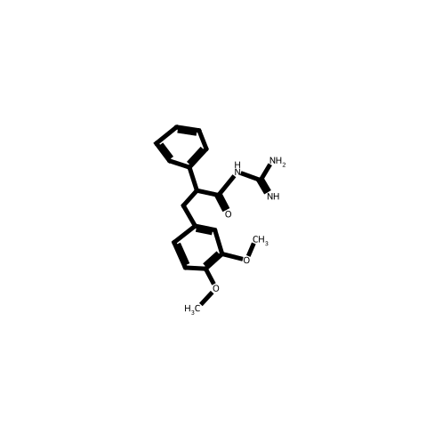 COc1ccc(CC(C(=O)NC(=N)N)c2ccccc2)cc1OC